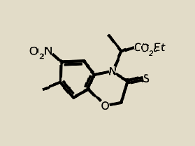 CCOC(=O)C(C)N1C(=S)COc2cc(C)c([N+](=O)[O-])cc21